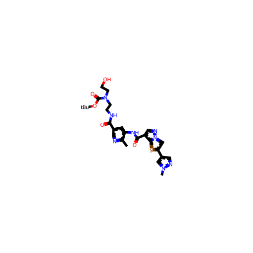 Cc1ncc(C(=O)NCCN(CCO)C(=O)OC(C)(C)C)cc1NC(=O)c1cnn2cc(-c3cnn(C)c3)sc12